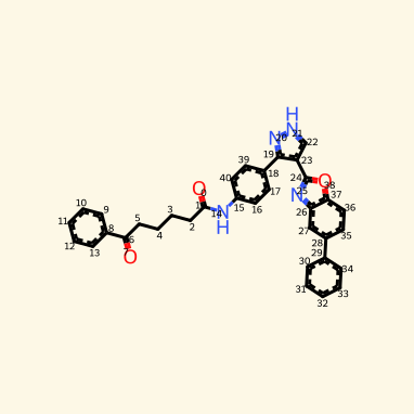 O=C(CCCCC(=O)c1ccccc1)Nc1ccc(-c2n[nH]cc2-c2nc3cc(-c4ccccc4)ccc3o2)cc1